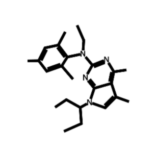 CCC(CC)n1cc(C)c2c(C)nc(N(CC)c3c(C)cc(C)cc3C)nc21